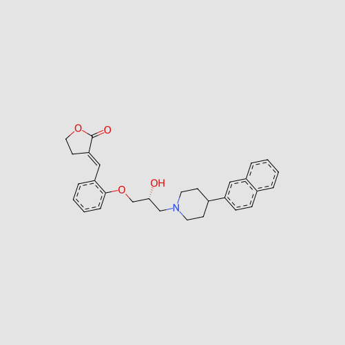 O=C1OCC/C1=C\c1ccccc1OC[C@H](O)CN1CCC(c2ccc3ccccc3c2)CC1